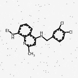 CCNc1cccc2c(NCc3ccc(Cl)c(Cl)c3)cc(C)nc12